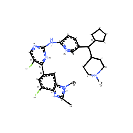 CCN1CCC(C(c2ccc(Nc3ncc(F)c(-c4cc(F)c5nc(C)n(C(C)C)c5c4)n3)nc2)C2CCCC2)CC1